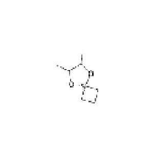 CC1O[Si]2(CCC2)OC1C